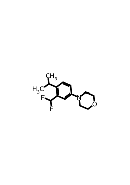 CC(C)c1ccc(N2CCOCC2)cc1C(F)F